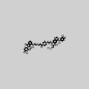 C=CC(=O)Nc1cc2c(Nc3ccc(F)c(Cl)c3)ncnc2cc1OCCCN1CCN(C(=O)CCOCCNc2cccc3c2C(=O)N(C2CCC(=O)NC2=O)C3=O)CC1